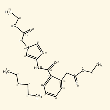 CCCCCC.CCOC(=O)Cc1ccccc1C(=O)Nc1cn(CC(=O)OCC)cn1